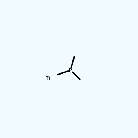 CP(C)C.[Ti]